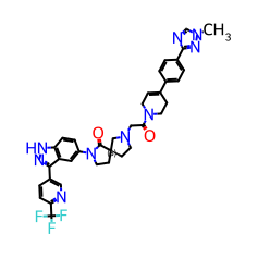 Cn1cnc(-c2ccc(C3=CCN(C(=O)CN4CC[C@]5(CCN(c6ccc7[nH]nc(-c8ccc(C(F)(F)F)nc8)c7c6)C5=O)C4)CC3)cc2)n1